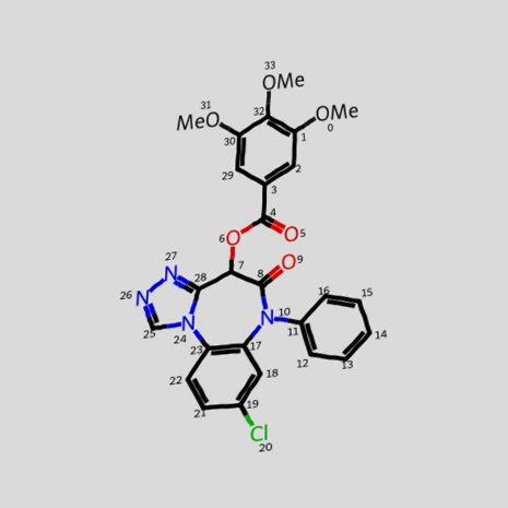 COc1cc(C(=O)OC2C(=O)N(c3ccccc3)c3cc(Cl)ccc3-n3cnnc32)cc(OC)c1OC